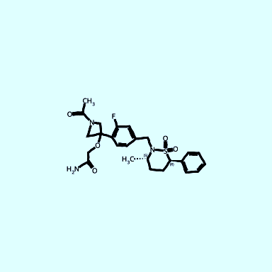 CC(=O)N1CC(OCC(N)=O)(c2ccc(CN3[C@@H](C)CC[C@H](c4ccccc4)S3(=O)=O)cc2F)C1